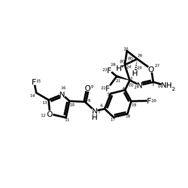 NC1=N[C@@](c2cc(NC(=O)c3coc(CF)n3)ccc2F)(C(F)F)[C@H]2C[C@H]2O1